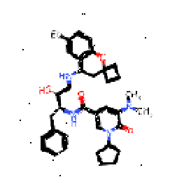 CCc1ccc2c(c1)C(NC[C@@H](O)[C@H](Cc1ccccc1)NC(=O)c1cc(N(C)C)c(=O)n(C3CCCC3)c1)CC1(CCC1)O2